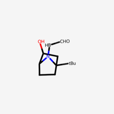 CC(C)(C)C12CCC(C(O)C1)N2BC=O